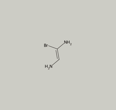 NC=C(N)Br